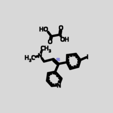 CN(C)C/C=C(/c1ccc(I)cc1)c1cccnc1.O=C(O)C(=O)O